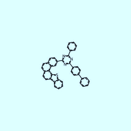 c1ccc(-c2ccc(-c3nc(-c4ccccc4)nc(-c4ccc5ccc6ccc7c8ccccc8sc7c6c5c4)n3)cc2)cc1